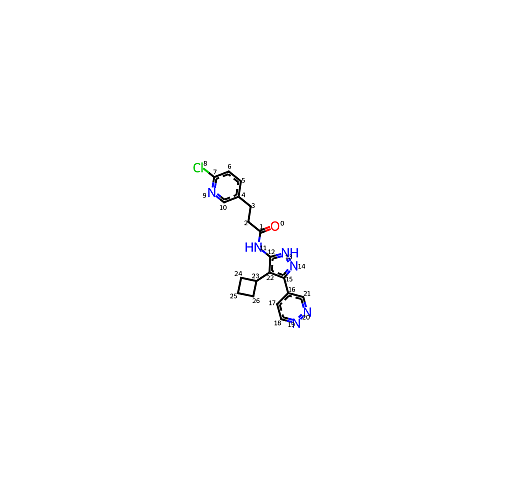 O=C(CCc1ccc(Cl)nc1)Nc1[nH]nc(-c2ccnnc2)c1C1CCC1